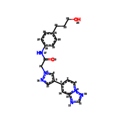 O=C(Cn1cc(-c2ccn3ncnc3c2)cn1)Nc1ccc(CCCO)cc1